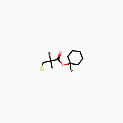 CCC(C)(CS)C(=O)OC1(C(C)C)CCCCC1